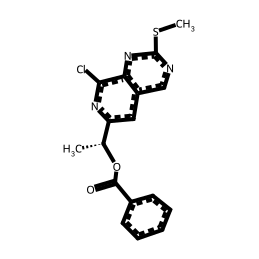 CSc1ncc2cc([C@@H](C)OC(=O)c3ccccc3)nc(Cl)c2n1